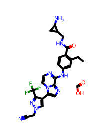 CCc1cc(Nc2nccn3c(-c4cn(CC#N)nc4C(F)(F)F)cnc23)ccc1C(=O)NCC1CC1N.O=CO